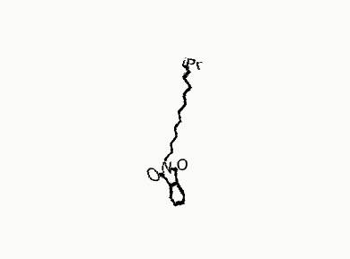 CC(C)CCCCCCCCCCCCN1C(=O)c2ccccc2C1=O